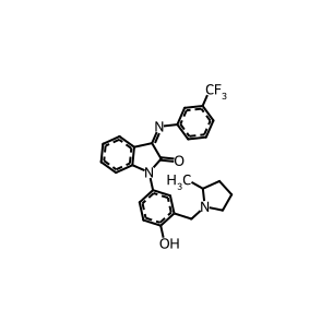 CC1CCCN1Cc1cc(N2C(=O)C(=Nc3cccc(C(F)(F)F)c3)c3ccccc32)ccc1O